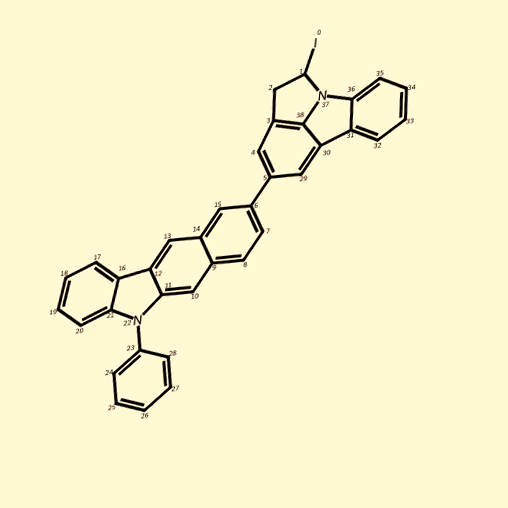 IC1Cc2cc(-c3ccc4cc5c(cc4c3)c3ccccc3n5-c3ccccc3)cc3c4ccccc4n1c23